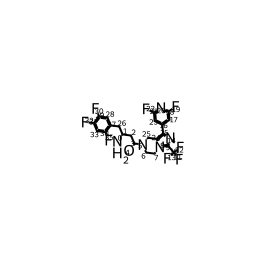 N[C@@H](CC(=O)N1CCn2c(C(F)(F)F)nc(-c3cc(F)nc(F)c3)c2C1)Cc1cc(F)c(F)cc1F